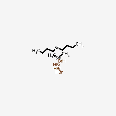 Br.Br.Br.Br.CCC[CH2][Sn][CH2]CCC.[CH3][Sn][CH3]